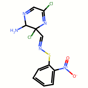 NC1N=CC(Cl)=NC1(Cl)C=NSc1ccccc1[N+](=O)[O-]